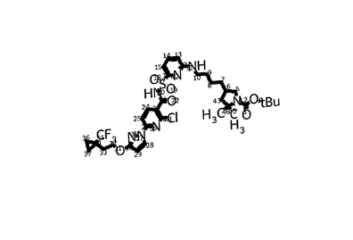 CC(C)(C)OC(=O)N1CC(CCCCNc2cccc(S(=O)(=O)NC(=O)c3ccc(-n4ccc(OCCC5(C(F)(F)F)CC5)n4)nc3Cl)n2)CC1(C)C